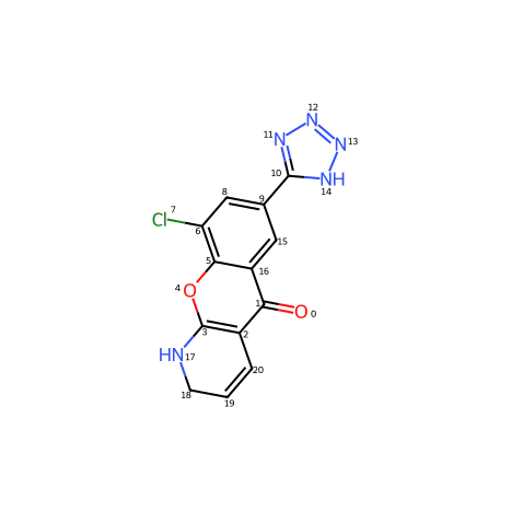 O=c1c2c(oc3c(Cl)cc(-c4nnn[nH]4)cc13)NCC=C2